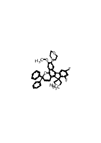 CCC1(CC)c2c(F)cc(F)cc2-c2c1c1c(c3cc(OC)c(N4CCOCC4)cc23)OC(c2ccccc2)(c2ccccc2)C=C1